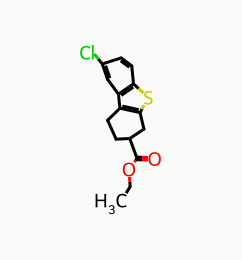 CCOC(=O)C1CCc2c(sc3ccc(Cl)cc23)C1